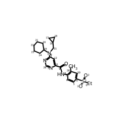 CCS(=O)(=O)c1ccc(NC(=O)c2cc(N(CC3CC3)C3CCCCC3)ncn2)c(C)c1